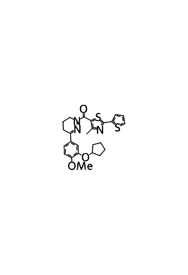 COc1ccc(C2=NN(C(=O)c3sc(-c4cccs4)nc3C)CCC2)cc1OC1CCCC1